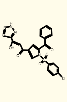 O=C(C=C(O)c1nn[nH]n1)c1cc(C(=O)c2ccccc2)n(S(=O)(=O)c2ccc(Cl)cc2)c1